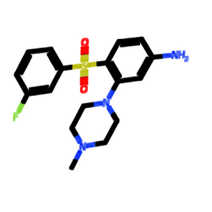 CN1CCN(c2cc(N)ccc2S(=O)(=O)c2cccc(F)c2)CC1